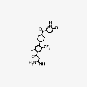 Cc1cc(C2CCN(C(=O)c3ccc(=O)[nH]c3)CC2)c(C(F)(F)F)cc1C(=O)NC(=N)N